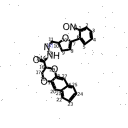 O=Nc1ccccc1C1=CCC(/C=N\NC(=O)C2COc3cc4ccccc4cc3O2)O1